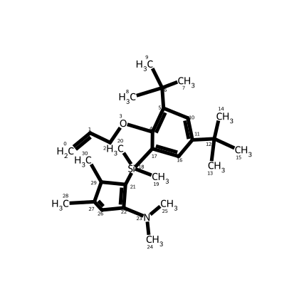 C=CCOc1c(C(C)(C)C)cc(C(C)(C)C)cc1[Si](C)(C)C1=C(N(C)C)C=C(C)C1C